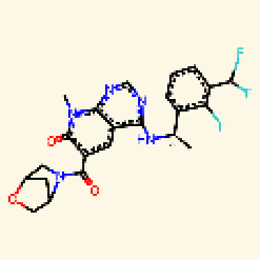 C[C@@H](Nc1ncnc2c1cc(C(=O)N1CC3CC1CO3)c(=O)n2C)c1cccc(C(F)F)c1F